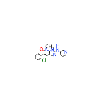 Cn1c(=O)c(-c2ccccc2Cl)cc2cnc(Nc3cccnc3)nc21